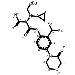 CC(C)(C)CN(C1CC1)[C@H](C(N)=O)C(=O)Nc1ccc(N2CCOCC2=O)cc1C(F)F